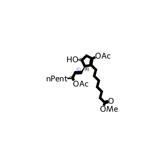 CCCCC[C@@H](/C=C/[C@@H]1C(CCCCCCC(=O)OC)=C(OC(C)=O)C[C@H]1O)OC(C)=O